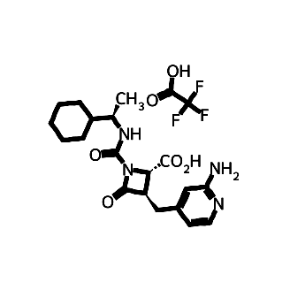 C[C@@H](NC(=O)N1C(=O)[C@H](Cc2ccnc(N)c2)[C@H]1C(=O)O)C1CCCCC1.O=C(O)C(F)(F)F